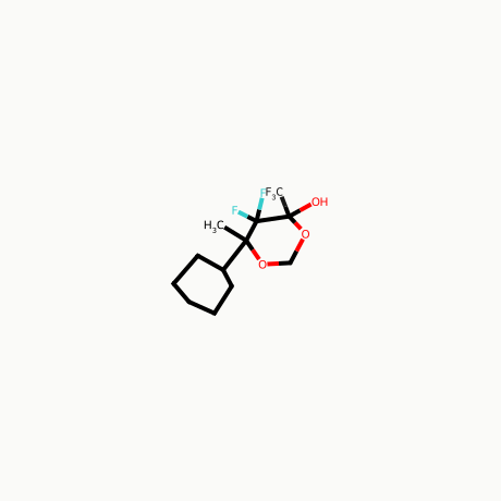 CC1(C2CCCCC2)OCOC(O)(C(F)(F)F)C1(F)F